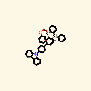 c1ccc([SiH]2c3ccccc3[Si]3(c4ccccc4Oc4ccccc43)c3cc(-c4ccc(-n5c6ccccc6c6ccccc65)cc4)ccc32)cc1